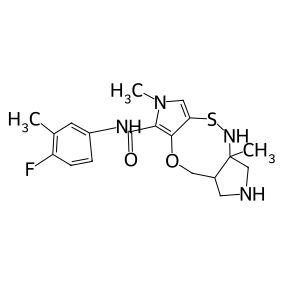 Cc1cc(NC(=O)c2c3c(cn2C)SNC2(C)CNCC2CO3)ccc1F